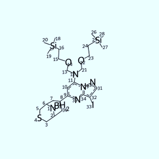 BN1C2CSCC1CC(c1cc(N(COCC[Si](C)(C)C)COCC[Si](C)(C)C)n3ncc(I)c3n1)C2